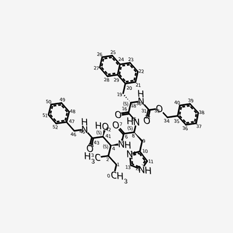 CCC(C)[C@H](NC(=O)[C@H](Cc1c[nH]cn1)NC(=O)[C@H](Cc1cccc2ccccc12)NC(=O)OCc1ccccc1)[C@H](O)C(=O)NCc1ccccc1